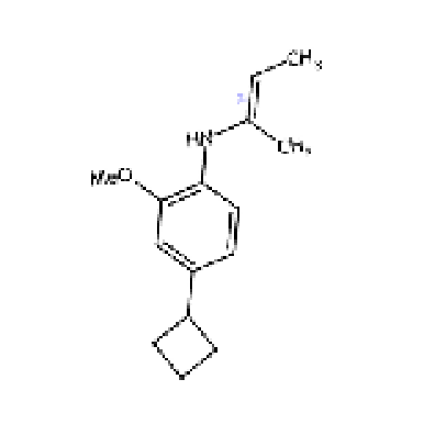 C/C=C(\C)Nc1ccc(C2CCC2)cc1OC